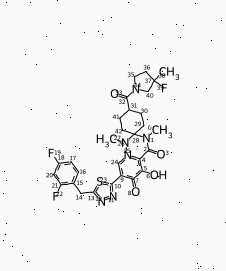 CN1C(=O)c2c(O)c(=O)c(-c3nnc(Cc4ccc(F)cc4F)s3)cn2N(C)C12CCC(C(=O)N1CCC(C)(F)C1)CC2